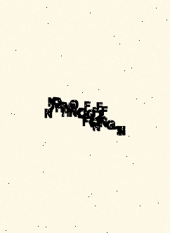 C[Si](C)(C)CCOCn1cc(C(F)(F)F)c2c(Oc3c(F)cc(NC(=O)NCc4ccnc(C#N)c4)cc3F)ccnc21